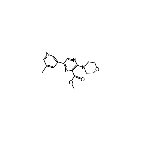 COC(=O)c1nc(-c2cncc(C)c2)cnc1N1CCOCC1